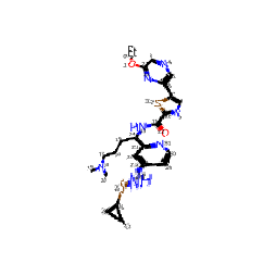 CCOc1cncc(-c2cnc(C(=O)NC(CCCN(C)C)c3cc(NSC4CC4)ccn3)s2)n1